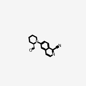 N#Cc1nccc2cc(N3CCCC[C@@H]3C=O)ccc12